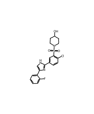 O=S(=O)(c1cc(-c2nc(-c3ccccc3F)c[nH]2)ccc1Cl)N1CCC(O)CC1